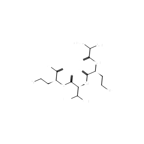 CCCCCCC(N)C(=O)N[C@@H](CCN)C(=O)N[C@H](C(=O)N[C@@H](CCN)C(=O)C(C)C)C(C)O